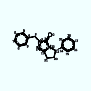 O=c1n(Cc2ccccc2)nc2n1[C@H](c1ccccc1)CC2